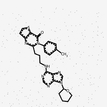 Cc1ccc(-n2c(CCCNc3ncnc4c3ncn4C3CCCCO3)nc3ccsc3c2=O)cc1